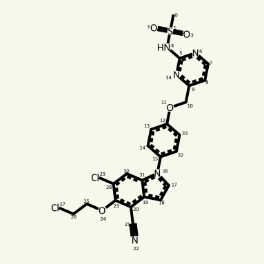 CS(=O)(=O)Nc1nccc(COc2ccc(-n3ccc4c(C#N)c(OCCCl)c(Cl)cc43)cc2)n1